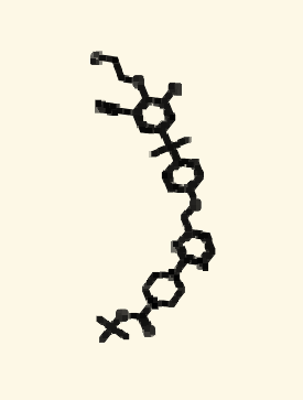 CC(C)(C)OC(=O)N1CCN(c2nccc(COc3ccc(C(C)(C)c4cc(Cl)c(OCCCl)c(C#N)c4)cc3)n2)CC1